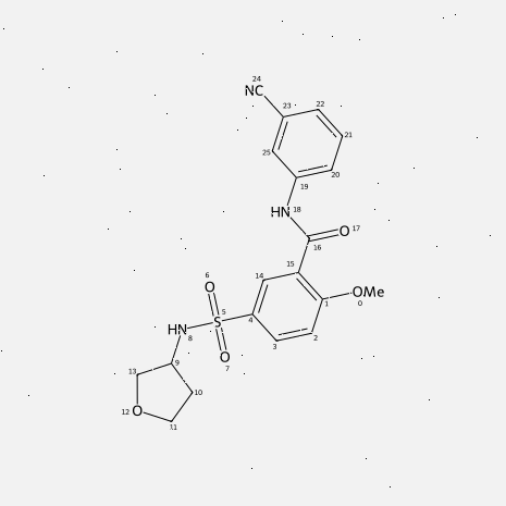 COc1ccc(S(=O)(=O)NC2CCOC2)cc1C(=O)Nc1cccc(C#N)c1